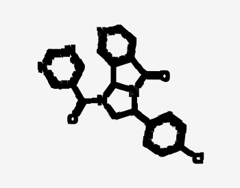 O=C(c1cncnc1)N1CC(c2ccc(Cl)cc2)N2C(=O)c3ccncc3C12